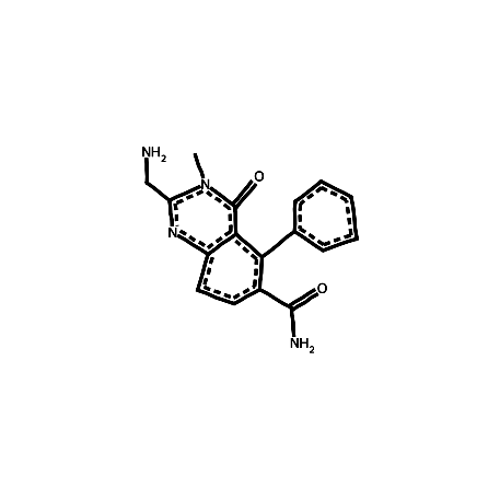 Cn1c(CN)nc2ccc(C(N)=O)c(-c3ccccc3)c2c1=O